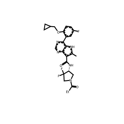 CCC(=O)N1C[C@@H](NC(=O)c2c(C)[nH]c3c(-c4cc(F)ccc4OCC4CC4)ncnc23)C(F)(F)C1